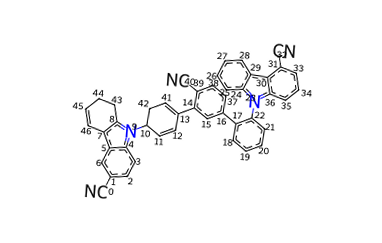 N#Cc1ccc2c(c1)c1c(n2C2C=CC(c3cc(-c4ccccc4-n4c5ccccc5c5c(C#N)cccc54)ccc3C#N)=CC2)CCC=C1